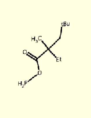 CCC(C)(CC(C)(C)C)C(=O)OP